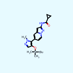 Cn1ncc(O[Si](C)(C)C(C)(C)C)c1-c1ccn2nc(NC(=O)C3CC3)cc2c1